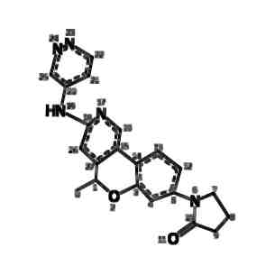 CC1Oc2cc(N3CCCC3=O)ccc2-c2cnc(Nc3ccnnc3)cc21